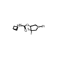 CC(C)N1C[C@H](OC(=O)NC23CC(C2)C3)C(F)(F)C1